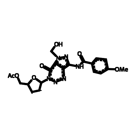 COc1ccc(C(=O)Nc2nn(CO)c3c(=O)n(C4[CH][CH]C(COC(C)=O)O4)nnc23)cc1